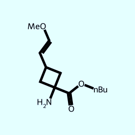 CCCCOC(=O)C1(N)CC(C=COC)C1